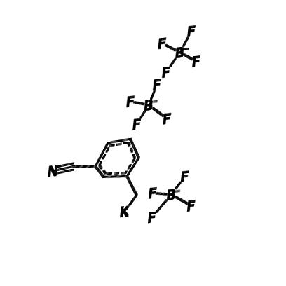 F[B-](F)(F)F.F[B-](F)(F)F.F[B-](F)(F)F.N#Cc1cccc([CH2][K])c1